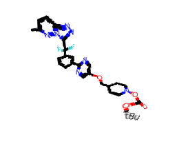 Cc1ccc2nnc(C(F)(F)c3cccc(-c4ncc(OCC5CCN(OC(=O)OC(C)(C)C)CC5)cn4)c3)n2n1